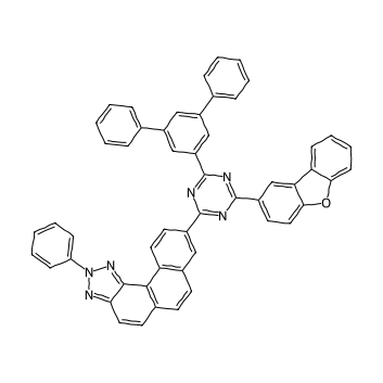 c1ccc(-c2cc(-c3ccccc3)cc(-c3nc(-c4ccc5c(ccc6ccc7nn(-c8ccccc8)nc7c65)c4)nc(-c4ccc5oc6ccccc6c5c4)n3)c2)cc1